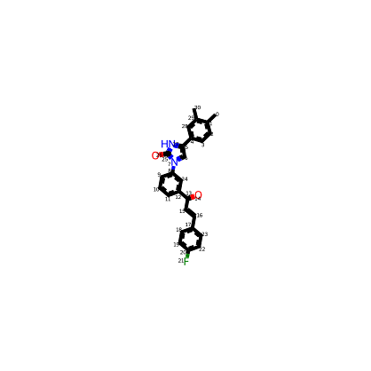 Cc1ccc(-c2cn(-c3cccc(C(=O)C=Cc4ccc(F)cc4)c3)c(=O)[nH]2)cc1C